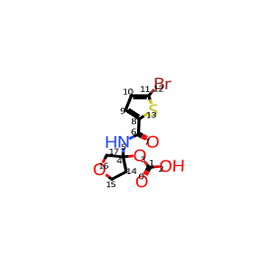 O=C(O)OC1(NC(=O)c2ccc(Br)s2)CCOC1